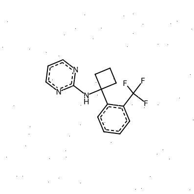 FC(F)(F)c1ccccc1C1(Nc2ncccn2)CCC1